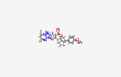 Cc1cc(C)n2nc(CC3=C(O)CC(CCc4ccc(OC(C)C)cc4)(C4CCCC4)OC3=O)nc2n1